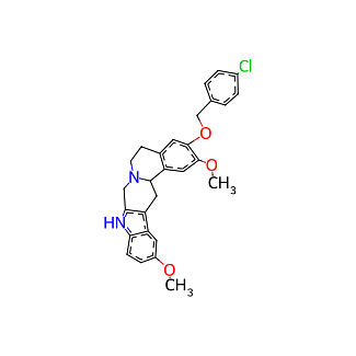 COc1ccc2[nH]c3c(c2c1)CC1c2cc(OC)c(OCc4ccc(Cl)cc4)cc2CCN1C3